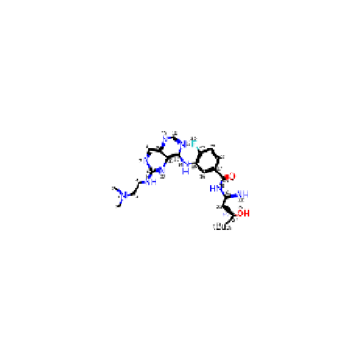 CN(C)CCNc1ncc2ncnc(Nc3cc(C(=O)NC(=N)/C=C(\O)C(C)(C)C)ccc3F)c2n1